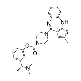 Cc1cc2c(s1)Nc1ccccc1N=C2N1CCN(C(=O)Oc2cccc([C@H](C)N(C)C)c2)CC1